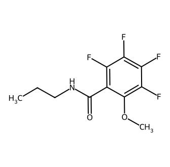 CCCNC(=O)c1c(F)c(F)c(F)c(F)c1OC